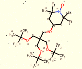 CCC1(CC)CC(OCC(COC(C(F)(F)F)(C(F)(F)F)C(F)(F)F)(COC(C(F)(F)F)(C(F)(F)F)C(F)(F)F)COC(C(F)(F)F)(C(F)(F)F)C(F)(F)F)CC(CC)(CC)N1[O]